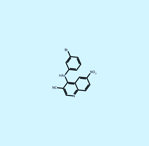 N#Cc1cnc2ccc([N+](=O)[O-])cc2c1[AsH]c1cccc(Br)c1